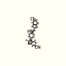 Cc1nc2cc(C#N)ccc2n1[C@H]1CC[C@@H](NCC2Cc3ccc(Cl)cc3C2)CC1